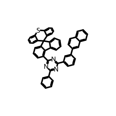 c1ccc(-c2nc(-c3cccc(-c4ccc5ccccc5c4)c3)nc(-c3cccc4c3-c3ccccc3C43c4ccccc4Sc4ccccc43)n2)cc1